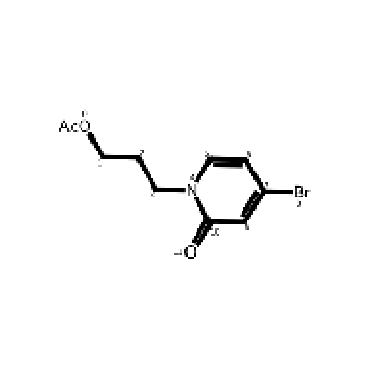 CC(=O)OCCCn1ccc(Br)cc1=O